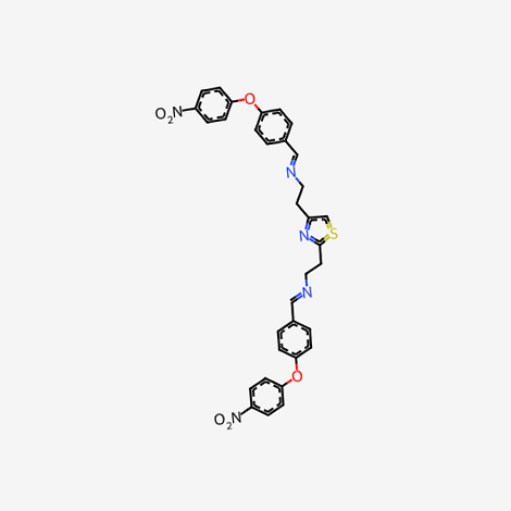 O=[N+]([O-])c1ccc(Oc2ccc(C=NCCc3csc(CCN=Cc4ccc(Oc5ccc([N+](=O)[O-])cc5)cc4)n3)cc2)cc1